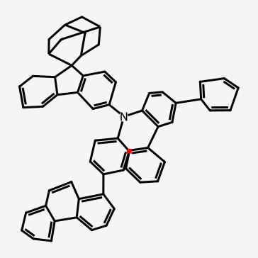 C1=CCC2C(=C1)c1cc(N(c3ccc(-c4cccc5c4ccc4ccccc45)cc3)c3ccc(-c4ccccc4)cc3-c3ccccc3)ccc1C21C2CC3CC(C2)CC1C3